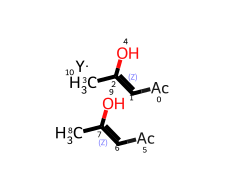 CC(=O)/C=C(/C)O.CC(=O)/C=C(/C)O.[Y]